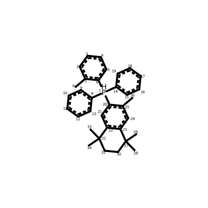 Cc1ccccc1[PH](c1ccccc1)(c1ccccc1)c1cc2c(cc1C)C(C)(C)CCC2(C)C